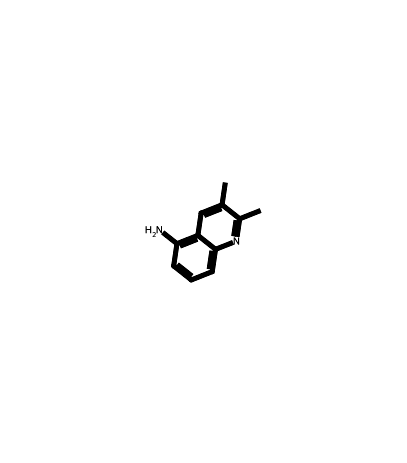 Cc1cc2c(N)cccc2nc1C